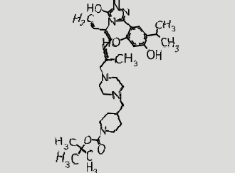 C=C/C(=C\C=C(/C)CN1CCN(CC2CCN(C(=O)OC(C)(C)C)CC2)CC1)n1c(O)nnc1-c1cc(C(C)C)c(O)cc1O